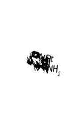 CCc1nc2c(N)ncc(-c3cnn(C4CCN(C)CC4)c3)c2nc1NC1CCOCC1